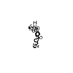 O=C(c1ccc(S(=O)(=O)Nc2nccs2)cc1)N1CCCC(Cc2ncccn2)C1